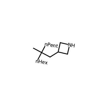 CCCCCCC(C)(CCCCC)CC1CNC1